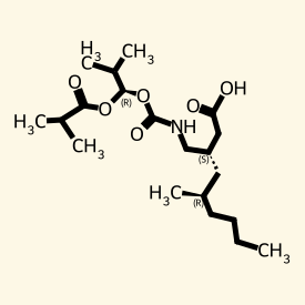 CCCC[C@@H](C)C[C@H](CNC(=O)O[C@@H](OC(=O)C(C)C)C(C)C)CC(=O)O